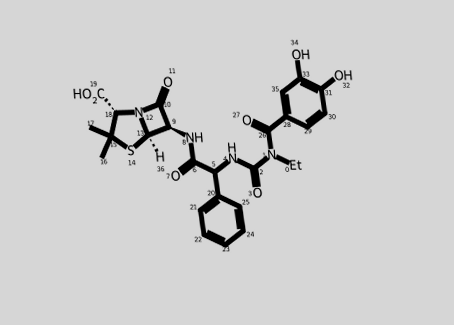 CCN(C(=O)NC(C(=O)N[C@@H]1C(=O)N2[C@@H]1SC(C)(C)[C@@H]2C(=O)O)c1ccccc1)C(=O)c1ccc(O)c(O)c1